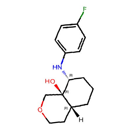 O[C@]12COCC[C@H]1CCC[C@H]2Nc1ccc(F)cc1